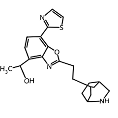 CC(O)c1ccc(-c2nccs2)c2oc(CCC3CC4CCC(C3)NC4)nc12